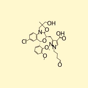 COc1cccc([C@H]2O[C@H](Cc3nn(CCCC=O)cc3C(=O)O)C(=O)N(CC(C)(C)CO)c3ccc(Cl)cc32)c1OC